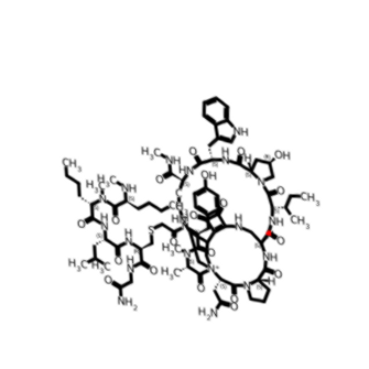 CCCC[C@H](NC)C(=O)N(C)[C@@H](CCCC)C(=O)N[C@@H](CC(C)C)C(=O)N[C@@H](CSCC(=O)N[C@@H](Cc1ccc(O)cc1)C(=O)N(C)[C@@H](C)C(=O)[N+]12CC3NCC[C@@H](C(=O)NC)NC(=O)[C@H](Cc4c[nH]c5ccccc45)NC(=O)[C@@H]4C[C@@H](O)CN4C(=O)[C@H](C(C)CC)NC(=O)[C@H](CNc4c(c(=O)c4=O)C3C1)NC(=O)[C@@H]1CCCN1C(=O)[C@@H]2CC(N)=O)C(=O)NCC(N)=O